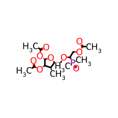 CC(=O)OCC(OC[C@H]1O[C@@H](OC(C)=O)C(OC(C)=O)[C@@H]1C)P(C)(C)=O